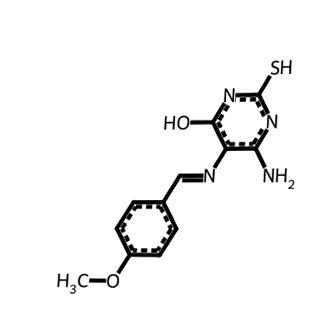 COc1ccc(C=Nc2c(N)nc(S)nc2O)cc1